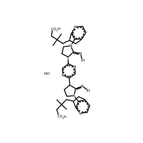 CCN=C1C(c2cnc([C@H]3CCN(c4c5ccnc4C(CC(C)(C)CC(=O)O)C5)C3=NCC)cn2)CCN1c1c2ccnc1C(CC(C)(C)CC(=O)O)C2.Cl